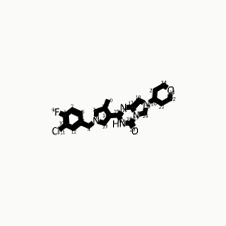 CC1CN(Cc2ccc(F)c(Cl)c2)CC1C1=NC2=CN(C3CCOCC3)CN2C(=O)N1